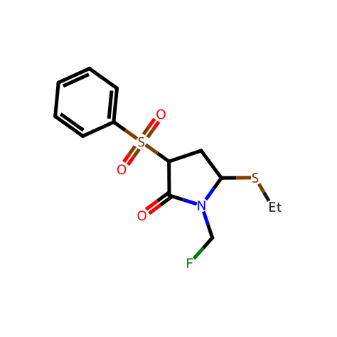 CCSC1CC(S(=O)(=O)c2ccccc2)C(=O)N1CF